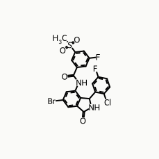 CS(=O)(=O)c1cc(F)cc(C(=O)Nc2cc(Br)cc3c2C(c2cc(F)ccc2Cl)NC3=O)c1